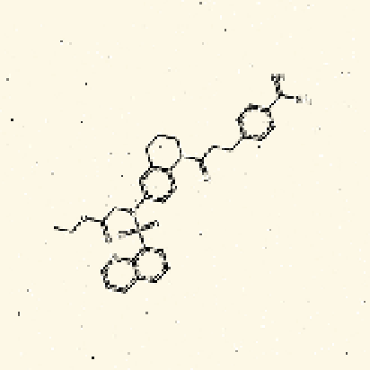 CCOC(=O)CN(c1ccc2c(c1)CCCN2C(=O)CCc1ccc(C(=N)N)cc1)S(=O)(=O)c1cccc2cccnc12